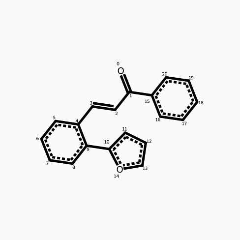 O=C(C=Cc1ccccc1-c1ccco1)c1ccccc1